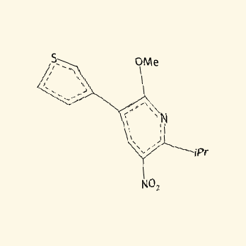 COc1nc(C(C)C)c([N+](=O)[O-])cc1-c1ccsc1